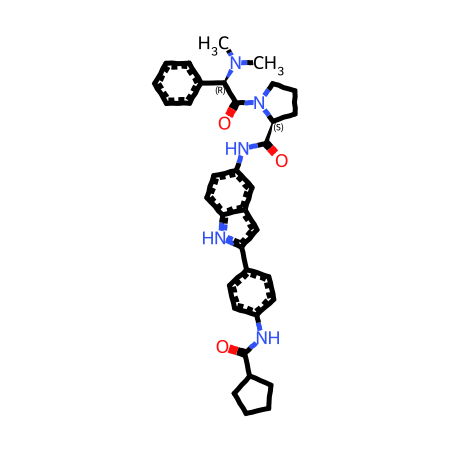 CN(C)[C@@H](C(=O)N1CCC[C@H]1C(=O)Nc1ccc2[nH]c(-c3ccc(NC(=O)C4CCCC4)cc3)cc2c1)c1ccccc1